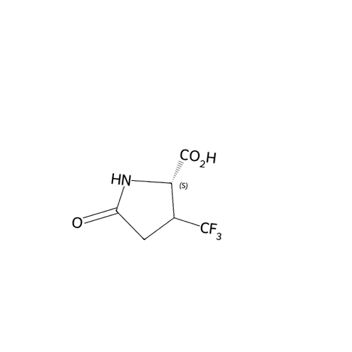 O=C1CC(C(F)(F)F)[C@@H](C(=O)O)N1